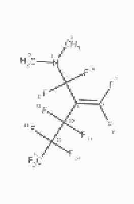 CN(C)C(F)(F)C(=C(F)F)C(F)(F)C(F)(F)C(F)(F)F